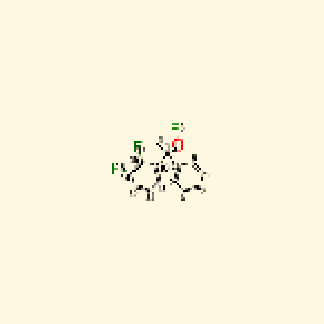 CC(OF)(c1ccccc1)c1cccc(F)c1F